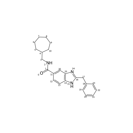 O=C(NCC1CCCCCC1)c1ccc2[nH]c(Cc3ccccc3)nc2c1